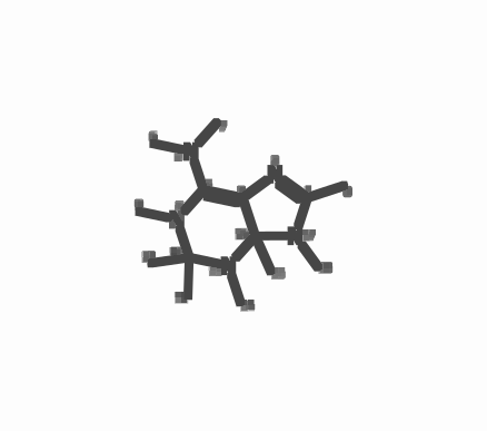 CC1=NC2=C(N(C)C)N(C)C(C)(C)N(C)C2(C)N1C